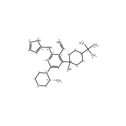 C[C@@H]1COCCN1c1cc(C2(O)CCC(C(C)(C)C)CC2)c(C=N)c(Nc2ccn[nH]2)n1